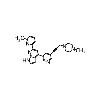 Cc1cccc(-c2cc(-c3cncc(C#CCN4CCN(C)CC4)c3)c3cc[nH]c3n2)n1